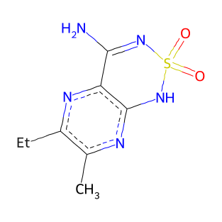 CCc1nc2c(nc1C)NS(=O)(=O)N=C2N